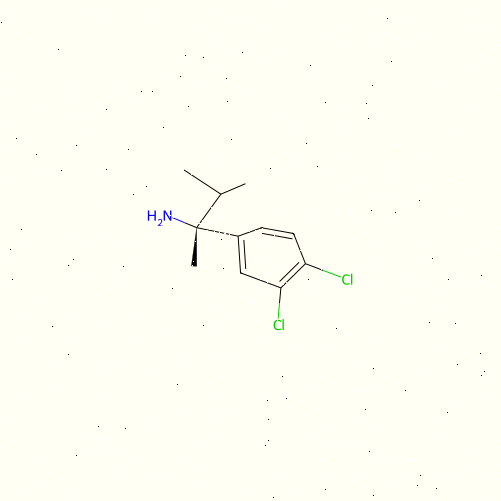 CC(C)[C@@](C)(N)c1ccc(Cl)c(Cl)c1